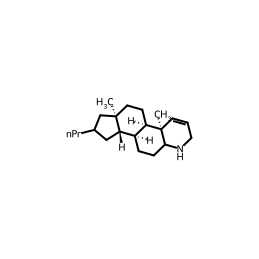 CCCC1C[C@H]2[C@@H]3CCC4NCC=C[C@]4(C)[C@@H]3CC[C@]2(C)C1